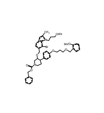 COCCCn1c(C)cc2ccc(COC3CN(C(=O)OCc4ccccc4)CCC3c3ccc(OCCCOCc4ccccc4OC)cc3)c(Br)c21